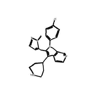 Cn1nccc1-c1c(C2CCNCC2)c2ccncc2n1-c1ccc(Cl)cc1